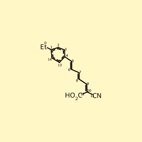 CCc1ccc(C=CC=CC=C(C#N)C(=O)O)cc1